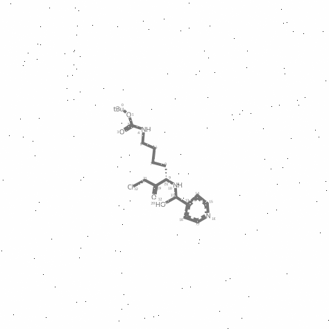 CC(C)(C)OC(=O)NCCCC[C@H](NC(O)c1ccncc1)C(=O)CCl